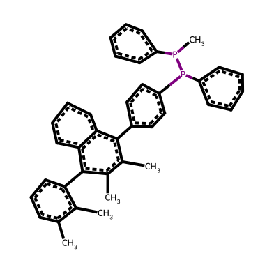 Cc1cccc(-c2c(C)c(C)c(-c3ccc(P(c4ccccc4)P(C)c4ccccc4)cc3)c3ccccc23)c1C